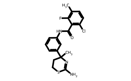 Cc1ccc(Cl)c(C(=O)Nc2cccc(C3(C)CCSC(N)=N3)c2)c1F